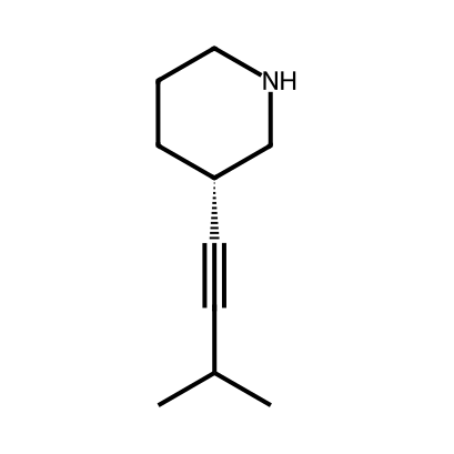 CC(C)C#C[C@@H]1CCCNC1